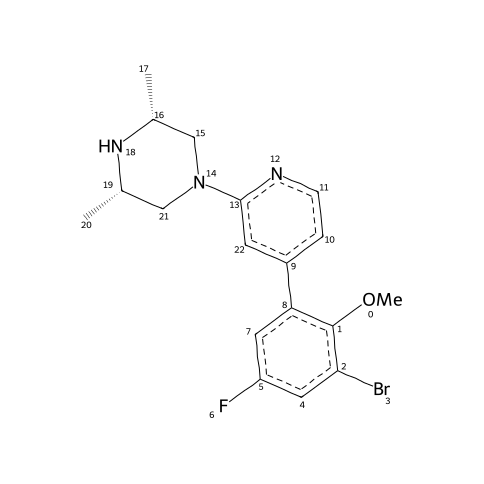 COc1c(Br)cc(F)cc1-c1ccnc(N2C[C@@H](C)N[C@@H](C)C2)c1